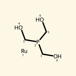 OCP(CO)CO.[Ru]